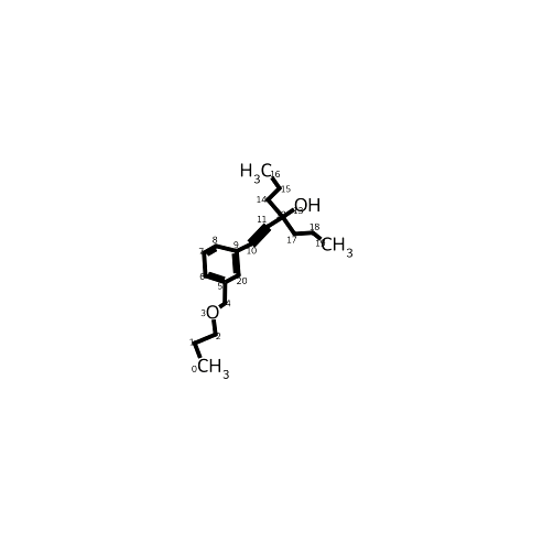 CCCOCc1cccc(C#CC(O)(CCC)CCC)c1